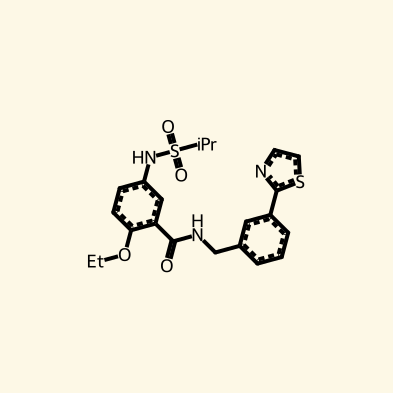 CCOc1ccc(NS(=O)(=O)C(C)C)cc1C(=O)NCc1cccc(-c2nccs2)c1